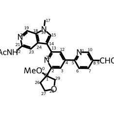 CO[C@]1(c2cc(-c3ccc(C=O)cn3)cc(-c3cn(C)c4cnc(NC(C)=O)cc34)n2)CCOC1